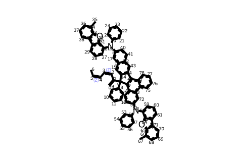 C=C(/C=C\C=C/C)C1(c2ccccc2)c2cc3cc(N(c4ccccc4)c4cccc5c4oc4c(C)cccc45)ccc3cc2-c2c1c1ccc(N(c3ccccc3)c3cccc4c3oc3c(C)cccc34)cc1c1ccccc21